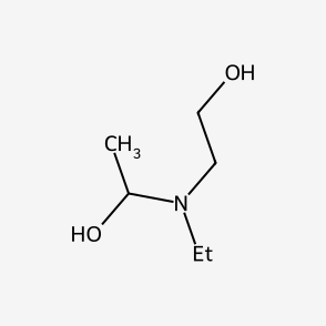 CCN(CCO)C(C)O